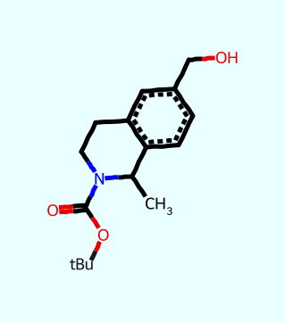 CC1c2ccc(CO)cc2CCN1C(=O)OC(C)(C)C